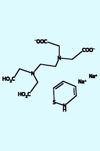 C1=CNSC=C1.O=C([O-])CN(CCN(CC(=O)O)CC(=O)O)CC(=O)[O-].[Na+].[Na+]